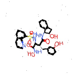 O=C(NO)[C@@H](NS(=O)(=O)c1cccc2cccnc12)[C@@H](Cc1cccc(O)c1)C(=O)N[C@H]1c2ccccc2C[C@H]1O